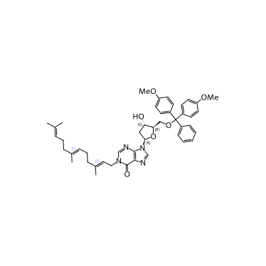 COc1ccc(C(OC[C@H]2O[C@@H](n3cnc4c(=O)n(C/C=C(\C)CC/C=C(\C)CCC=C(C)C)cnc43)C[C@@H]2O)(c2ccccc2)c2ccc(OC)cc2)cc1